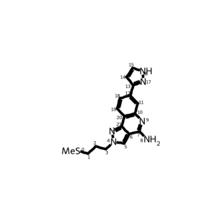 CSCCCn1cc2c(N)nc3cc(-c4cc[nH]n4)ccc3c2n1